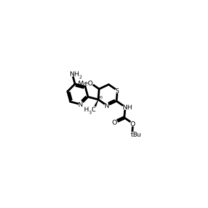 COC1CSC(NC(=O)OC(C)(C)C)=N[C@]1(C)c1cc(N)ccn1